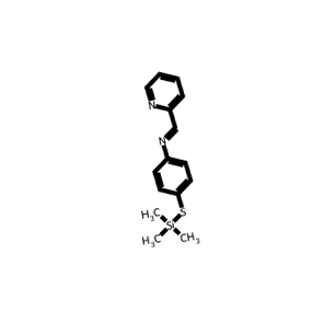 C[Si](C)(C)Sc1ccc(/N=C/c2ccccn2)cc1